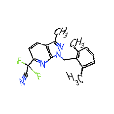 Cc1cccc(C)c1Cn1nc(C)c2ccc(C(F)(F)C#N)nc21